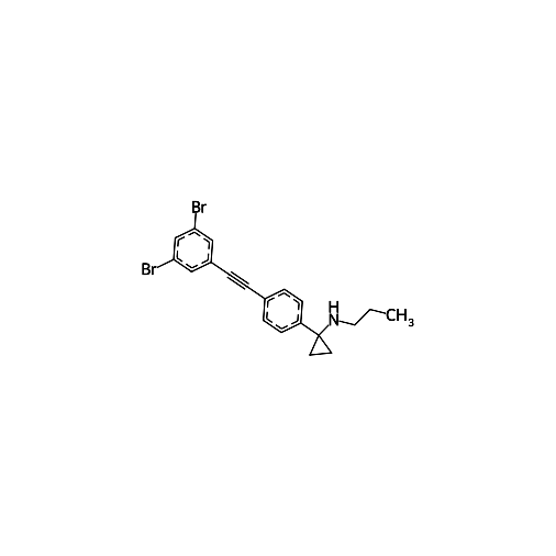 CCCNC1(c2ccc(C#Cc3cc(Br)cc(Br)c3)cc2)CC1